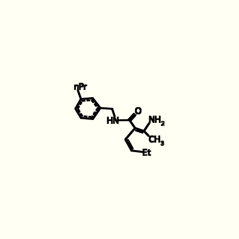 CC/C=C\C(C(=O)NCc1cccc(CCC)c1)=C(/C)N